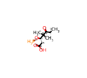 CCC(=O)C(C)(C)[C@H](CC(=O)O)OP